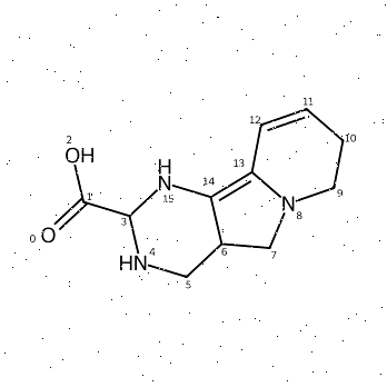 O=C(O)C1NCC2CN3CCC=CC3=C2N1